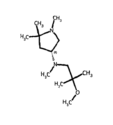 COC(C)(C)CN(C)[C@H]1CN(C)C(C)(C)C1